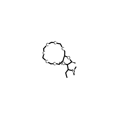 CCC(C(O)[C@H](C)OC1CCCCCCCCCCCCCC1)N(C)C